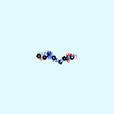 Nc1ncnc2c1c(-c1ccc(Oc3ccccc3)cc1)nn2C1CCC(CN[C@H]2CCCN(c3ccc4c(c3)C(=O)N(C3CCC(=O)NC3=O)C4=O)C2)CC1